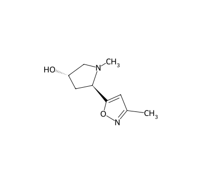 Cc1cc([C@H]2C[C@H](O)CN2C)on1